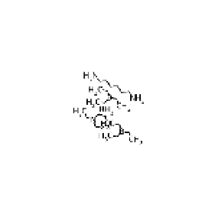 B.CCB(CC)CC.CCB(CC)CC.CCN1CCOCC1.NCCCCCCN